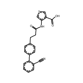 N#Cc1ccccc1-c1ccc(CCC(=O)Nc2cscc2C(=O)O)cc1